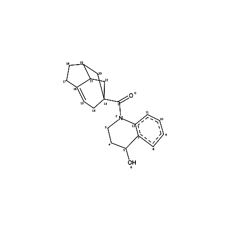 O=C(N1CCC(O)c2ccccc21)C12CC=C3CCC(C1)C3C2